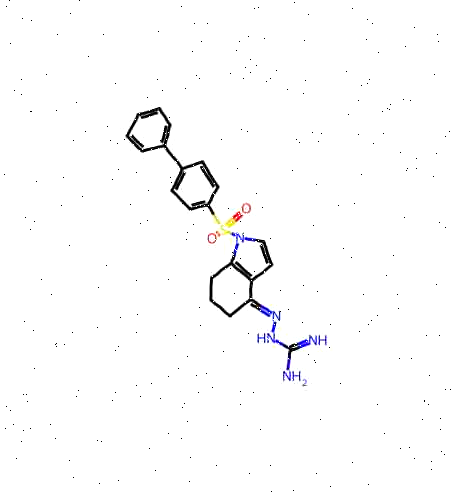 N=C(N)NN=C1CCCc2c1ccn2S(=O)(=O)c1ccc(-c2ccccc2)cc1